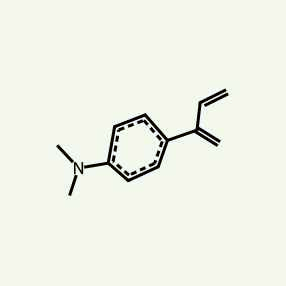 C=CC(=C)c1ccc(N(C)C)cc1